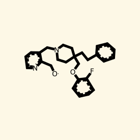 [O]Cc1ncccc1CN1CCC(CCc2ccccc2)(COc2ccccc2F)CC1